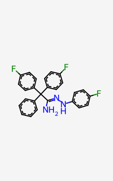 NC(=NNc1ccc(F)cc1)C(c1ccccc1)(c1ccc(F)cc1)c1ccc(F)cc1